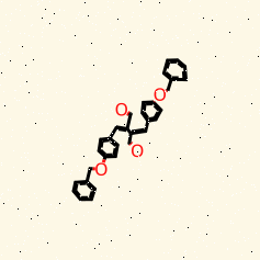 O=CC(=C/c1ccc(OCc2ccccc2)cc1)/C(C=O)=C\c1ccc(OCc2ccccc2)cc1